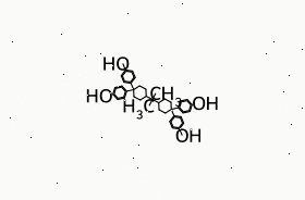 CC(C)(C1CCC(c2ccc(O)cc2)(c2ccc(O)cc2)CC1)C1CCC(c2ccc(O)cc2)(c2ccc(O)cc2)CC1